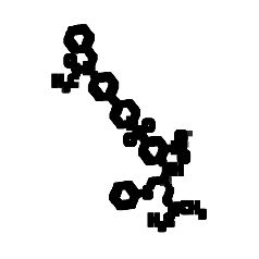 CC(=O)N(Cc1ccccc1)c1ccc(C2=CCN(S(=O)(=O)c3ccc(N[C@H](CCN(C)C)CSc4ccccc4)c([N+](=O)[O-])c3)CC2)cc1